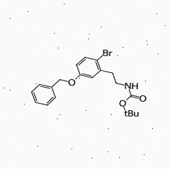 CC(C)(C)OC(=O)NCCc1cc(OCc2ccccc2)ccc1Br